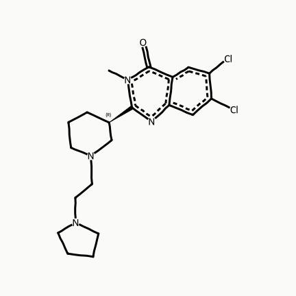 Cn1c([C@@H]2CCCN(CCN3CCCC3)C2)nc2cc(Cl)c(Cl)cc2c1=O